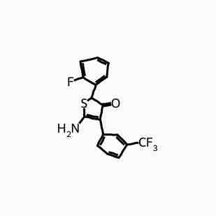 NC1=C(c2cccc(C(F)(F)F)c2)C(=O)C(c2ccccc2F)S1